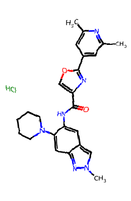 Cc1cc(-c2nc(C(=O)Nc3cc4cn(C)nc4cc3N3CCCCC3)co2)cc(C)n1.Cl